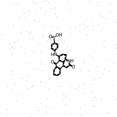 O=C1c2ccccc2-c2cc(=O)[nH]c3ccc(Nc4ccc(S(=O)O)cc4)c1c23